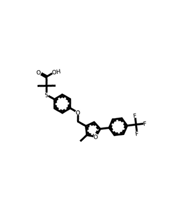 Cc1oc(-c2ccc(C(F)(F)F)cc2)cc1COc1ccc(SC(C)(C)C(=O)O)cc1